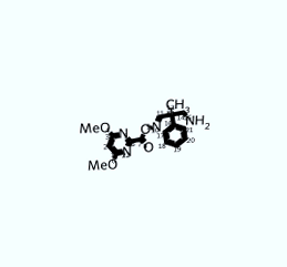 COc1cc(OC)nc(C(=O)ON=C[C@@](C)(CN)c2ccccc2)n1